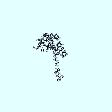 CC(=O)O[C@H]1C(=O)[C@@]2(C)C([C@H](OC(=O)c3ccccc3)[C@]3(O)C[C@H](OC(=O)[C@H](OC(=O)OCCSSCCOC(=O)CCC(=O)O)[C@@H](NC(=O)c4ccccc4)c4ccccc4)C(C)=C1C3(C)C)[C@]1(OC(C)=O)CO[C@@H]1C[C@@H]2O